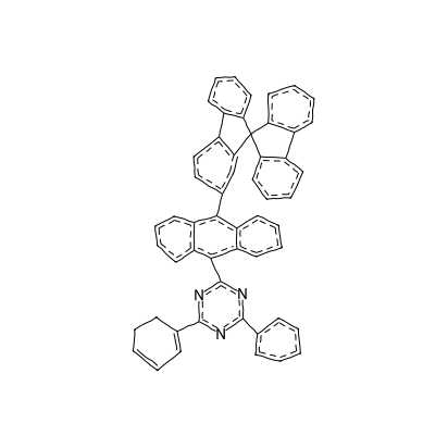 C1=CCCC(c2nc(-c3ccccc3)nc(-c3c4ccccc4c(-c4ccc5c(c4)C4(c6ccccc6-c6ccccc64)c4ccccc4-5)c4ccccc34)n2)=C1